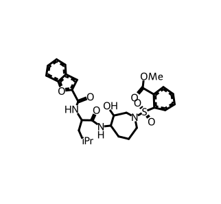 COC(=O)c1ccccc1S(=O)(=O)N1CCCC(NC(=O)C(CC(C)C)NC(=O)c2cc3ccccc3o2)C(O)C1